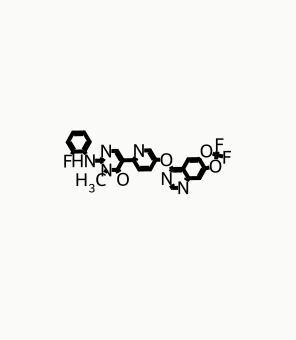 Cn1c(Nc2ccccc2F)ncc(-c2ccc(Oc3ncnc4cc5c(cc34)OC(F)(F)O5)cn2)c1=O